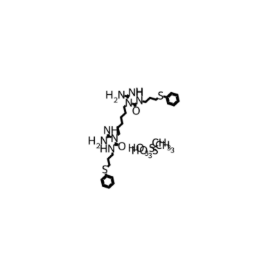 CS(=O)(=O)O.CS(=O)(=O)O.N=C(N)N(CCCCCCN(C(=N)N)C(=O)NCCCSc1ccccc1)C(=O)NCCCSc1ccccc1